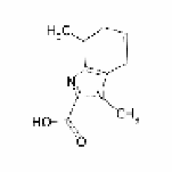 CC1CC=Cc2c1nc(C(=O)O)n2C